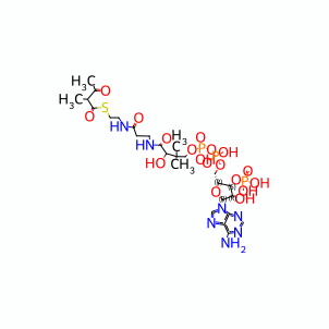 CC(=O)C(C)C(=O)SCCNC(=O)CCNC(=O)C(O)C(C)(C)COP(=O)(O)OP(=O)(O)OC[C@H]1O[C@@H](n2cnc3c(N)ncnc32)[C@H](O)[C@@H]1OP(=O)(O)O